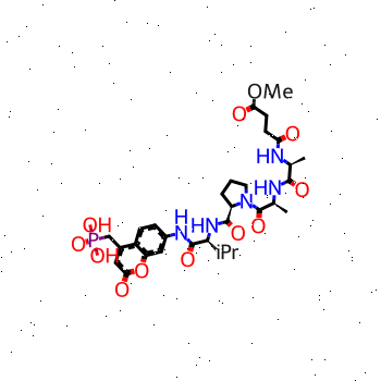 COC(=O)CCC(=O)N[C@@H](C)C(=O)N[C@@H](C)C(=O)N1CCC[C@@H]1C(=O)N[C@H](C(=O)Nc1ccc2c(CP(=O)(O)O)cc(=O)oc2c1)C(C)C